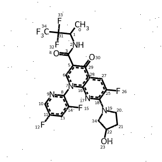 CC(NC(=O)c1cn(-c2ncc(F)cc2F)c2nc(N3CCC(O)C3)c(F)cc2c1=O)C(F)(F)C(F)(F)F